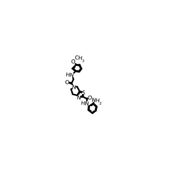 COc1cccc(NCC(=O)N2CCc3nc(C(=O)Nc4ccccc4N)sc3C2)c1